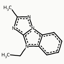 CCn1c2ccccc2n2nc(C)nc12